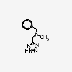 CN(Cc1ccccc1)Cc1nn[nH]n1